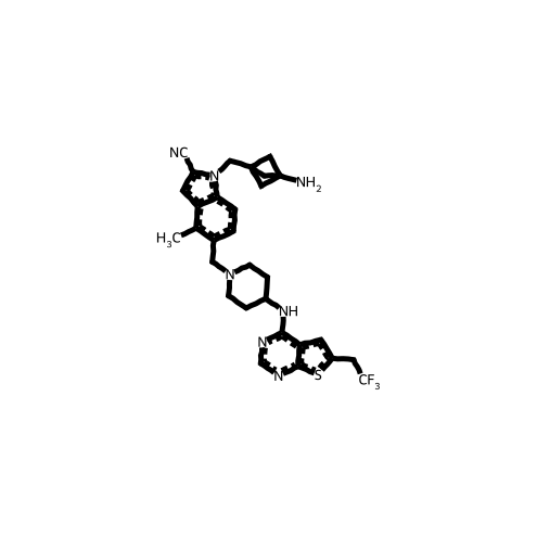 Cc1c(CN2CCC(Nc3ncnc4sc(CC(F)(F)F)cc34)CC2)ccc2c1cc(C#N)n2CC12CC(N)(C1)C2